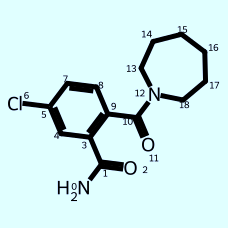 NC(=O)c1cc(Cl)ccc1C(=O)N1CCCCCC1